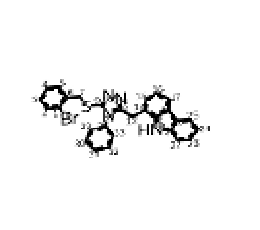 Brc1ccccc1CSc1nnc(Cc2cccc3c2[nH]c2ccccc23)n1-c1ccccc1